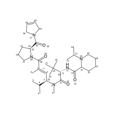 C/C(=C\[C@H](C(C)C)N(C)C(=O)[C@@H](NC(=O)C1CCCCN1C(C)C)C(C)(C)C)C(=O)N1CCC[C@H]1C(=O)N1CC=CC1